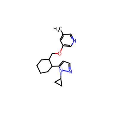 Cc1cncc(OCC2CCCCC2c2ccnn2C2CC2)c1